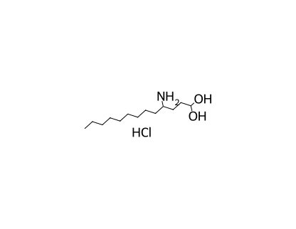 CCCCCCCCCC(N)CCC(O)O.Cl